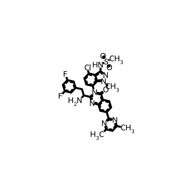 Cc1cc(C)nc(-c2ccc3c(=O)n(-c4ccc(Cl)c5c(NS(C)(=O)=O)nn(C)c45)c(C(N)Cc4cc(F)cc(F)c4)nc3c2)n1